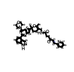 CC1=C(CNC(=O)CCC(=O)/C=C/c2ccccn2)CCC(C)(c2cc3nc(-c4cccc5[nH]ncc45)nc(N4CCOCC4)c3s2)O1